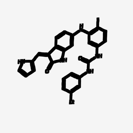 CCc1cccc(NC(=O)Nc2ccc(C)c(Nc3ccc4c(c3)NC(=O)/C4=C\c3ccc[nH]3)c2)c1